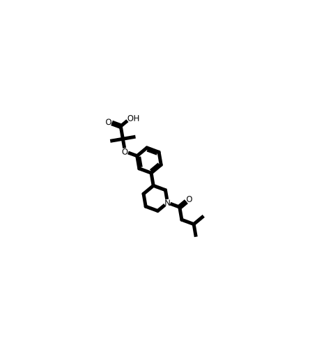 CC(C)CC(=O)N1CCCC(c2cccc(OC(C)(C)C(=O)O)c2)C1